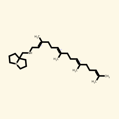 CC(C)=CCC/C(C)=C/CC/C(C)=C/CC/C(C)=C/CNCC12CCCN1CCC2